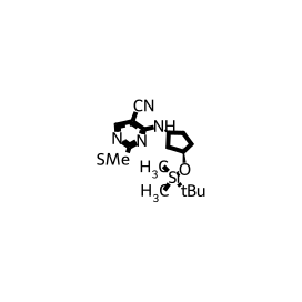 CSc1ncc(C#N)c(N[C@@H]2CC[C@@H](O[Si](C)(C)C(C)(C)C)C2)n1